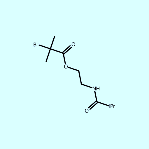 CC(C)C(=O)NCCOC(=O)C(C)(C)Br